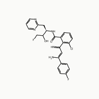 N=C(/C=C(\N)c1ccc(F)cc1)c1c(Cl)cccc1C(=O)N[C@H](Cc1ncccn1)C(O)CF